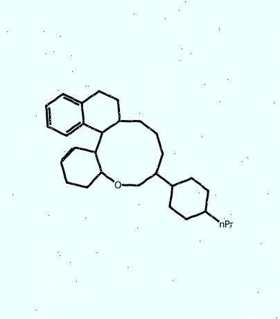 CCCC1CCC(C2CCCC3CCc4ccccc4C3C3C(CCC4CCCCC43)OC2)CC1